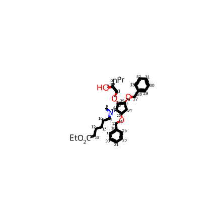 CCCC(O)CO[C@@H]1[C@@H](N(C)CCCCCC(=O)OCC)[C@H](OCc2ccccc2)C[C@@H]1OCc1ccccc1